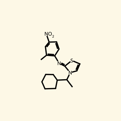 Cc1cc([N+](=O)[O-])ccc1N=c1sccn1C(C)C1CCCCC1